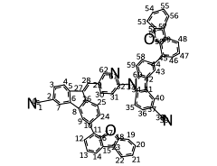 N#Cc1ccc2c(c1)-c1cc(-c3cccc4c3oc3ccccc34)ccc1/C2=C\c1ccc(-n2c3ccc(C#N)cc3c3cc(-c4cccc5c4oc4ccccc45)ccc32)nc1